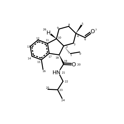 CC[C@@]12C[C@@](C)(C=O)CC[C@H]1c1cccc(C)c1[C@@H]2C(=O)NCC(C)C